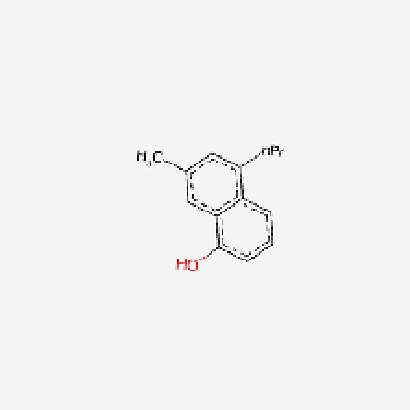 CCCc1cc(C)cc2c(O)cccc12